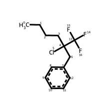 CCCCC(Cl)(Cc1ccccc1)C(F)(F)F